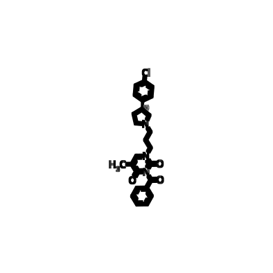 Cc1cn(CCCN2CC[C@@H](c3ccc(Cl)cc3)C2)c(=O)n(C(=O)c2ccccc2)c1=O